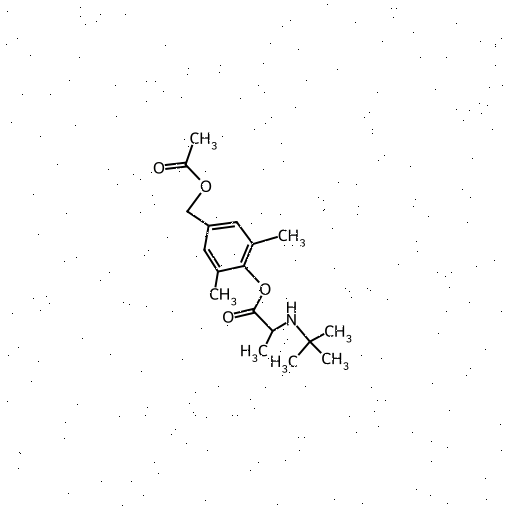 CC(=O)OCc1cc(C)c(OC(=O)C(C)NC(C)(C)C)c(C)c1